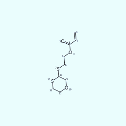 C=CC(=O)OCCSC1COCCS1